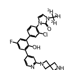 [2H]C([2H])([2H])n1ccn(-c2ccc(-c3cc(F)cc(-c4ccnc(N5CC6(CNC6)C5)c4)c3O)cc2Cl)c1=O